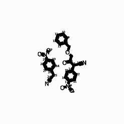 N#CC(C(=O)COCc1ccccc1)c1ccc([N+](=O)[O-])cc1.N#CCc1ccc([N+](=O)[O-])cc1